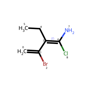 C=C(Br)/C(CC)=C(/N)Cl